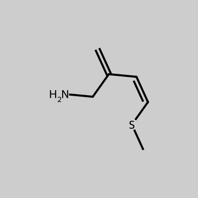 C=C(/C=C\SC)CN